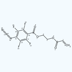 C=CC(=O)OCCOC(=O)c1c(F)c(F)c(N=[N+]=[N-])c(F)c1F